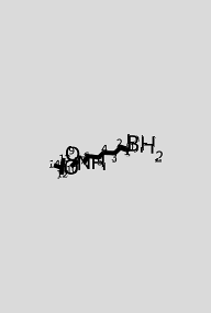 BCCCCCCNC(=O)OC(C)(C)C